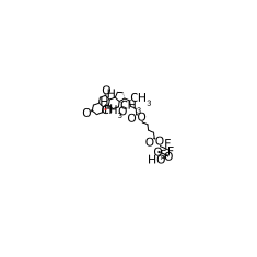 C[C@H](CCC(=O)OCCCCC(=O)OCC(F)(F)S(=O)(=O)O)[C@H]1CC[C@H]2[C@@H]3C(=O)CC4CC(=O)CC[C@]4(C)[C@H]3CC(=O)[C@]12C